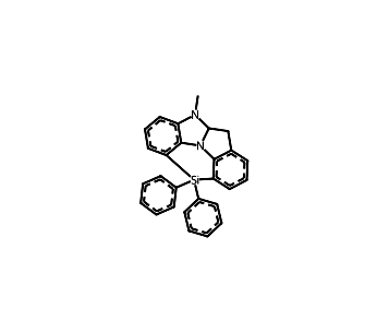 CN1c2cccc3c2N2c4c(cccc4[Si]3(c3ccccc3)c3ccccc3)CC12